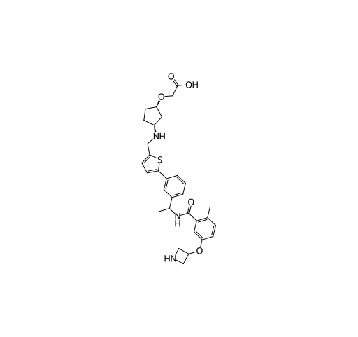 Cc1ccc(OC2CNC2)cc1C(=O)NC(C)c1cccc(-c2ccc(CN[C@H]3CC[C@@H](OCC(=O)O)C3)s2)c1